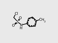 Cc1ccc(NS(=O)(=O)CCl)cc1